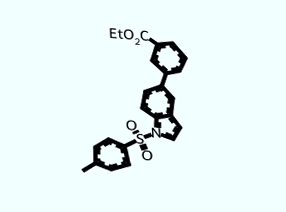 CCOC(=O)c1cccc(-c2ccc3c(ccn3S(=O)(=O)c3ccc(C)cc3)c2)c1